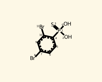 OP(O)(=S)c1ccc(Br)cc1Br